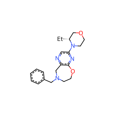 CC[C@@H]1COCCN1c1cnc2c(n1)OCCN(Cc1ccccc1)C2